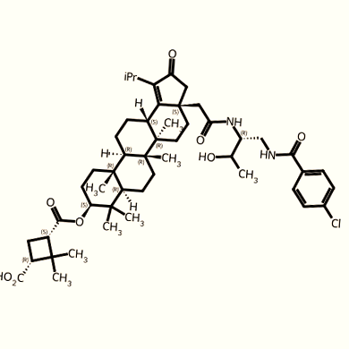 CC(C)C1=C2[C@H]3CC[C@@H]4[C@@]5(C)CC[C@H](OC(=O)[C@H]6C[C@@H](C(=O)O)C6(C)C)C(C)(C)[C@@H]5CC[C@@]4(C)[C@]3(C)CC[C@@]2(CC(=O)N[C@H](CNC(=O)c2ccc(Cl)cc2)C(C)O)CC1=O